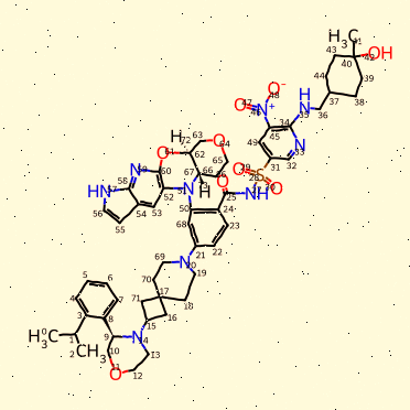 CC(C)c1ccccc1[C@@H]1COCCN1C1CC2(CCN(c3ccc(C(=O)NS(=O)(=O)c4cnc(NCC5CCC(C)(O)CC5)c([N+](=O)[O-])c4)c(N4c5cc6cc[nH]c6nc5O[C@H]5COCC[C@@H]54)c3)CC2)C1